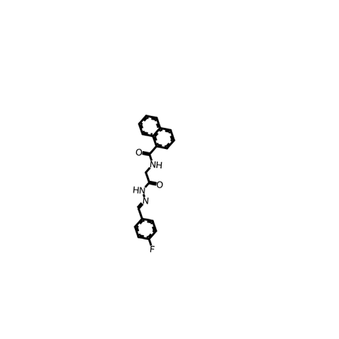 O=C(CNC(=O)c1cccc2ccccc12)NN=Cc1ccc(F)cc1